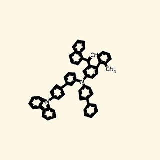 C=C(c1cc(N(c2ccc(-c3ccccc3)cc2)c2cccc(-c3ccc(-n4c5ccccc5c5ccccc54)cc3)c2)ccc1-c1ccccc1C)c1cccc2ccccc12